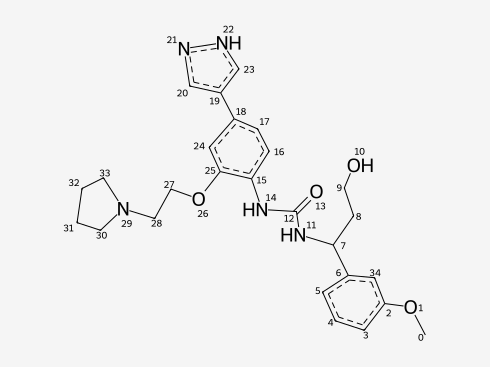 COc1cccc(C(CCO)NC(=O)Nc2ccc(-c3cn[nH]c3)cc2OCCN2CCCC2)c1